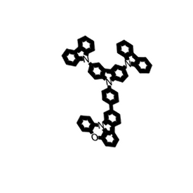 c1ccc2c(c1)Oc1cccc3c4ccc(-c5ccc(-n6c7ccc(-n8c9ccccc9c9ccccc98)cc7c7cc(-n8c9ccccc9c9ccccc98)ccc76)cc5)cc4n-2c13